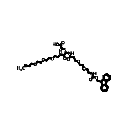 COCCOCCOCCOCCNC(=O)[C@H](CCC(=O)O)NC(=O)CCOCCOCCNC(=O)OCC1c2ccccc2-c2ccccc21